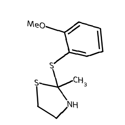 COc1ccccc1SC1(C)NCCS1